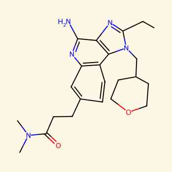 CCc1nc2c(N)nc3cc(CCC(=O)N(C)C)ccc3c2n1CC1CCOCC1